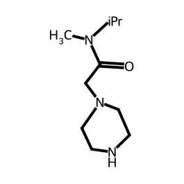 CC(C)N(C)C(=O)CN1CCNCC1